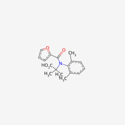 Cc1cccc(C)c1N(C(=O)c1ccco1)C(C)(C)C(=O)O